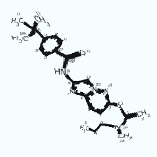 C=C(Sc1ccc2nc(NC(=O)c3ccc(C(C)(C)C)cc3)cn2n1)N(C)CCC